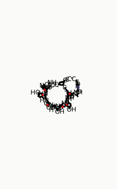 CC(C)C[C@@H]1NC(=O)/C=N/OCCCCCCOc2cc3cc(c2)CSC[C@H](NC1=O)C(=O)N[C@@H](Cc1ccc(O)cc1)C(=O)N1CCC[C@H]1C(=O)N[C@@H](CC(=O)O)C(=O)N[C@@H]([C@@H](C)O)C(=O)N[C@@H](Cc1ccc(O)cc1)C(=O)N[C@@H](Cc1cnc[nH]1)C(=O)N[C@H](C(N)=O)CSC3